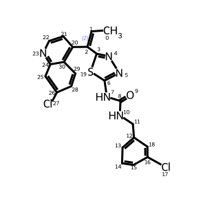 C/C=C(\c1nnc(NC(=O)NCc2cccc(Cl)c2)s1)c1ccnc2cc(Cl)ccc12